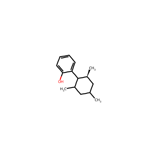 CC1CC(C)C(c2ccccc2O)[C@@H](C)C1